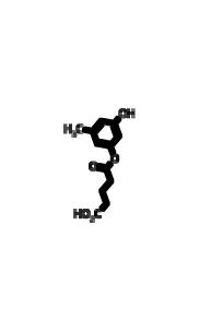 Cc1cc(O)cc(OC(=O)CCCC(=O)O)c1